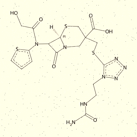 NC(=O)NCCn1nnnc1SCC1(C(=O)O)CS[C@@H]2C(N(C(=O)CO)c3cccs3)C(=O)N2C1